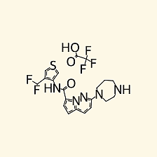 O=C(Nc1cscc1C(F)F)c1ccc2ccc(N3CCCNCC3)nn12.O=C(O)C(F)(F)F